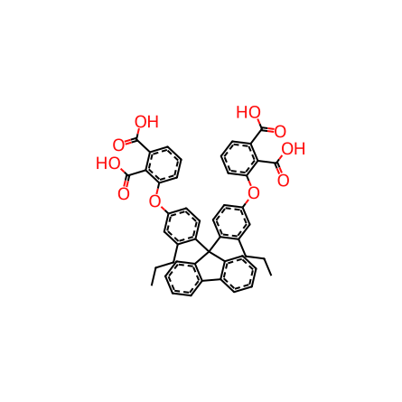 CCCc1cc(Oc2cccc(C(=O)O)c2C(=O)O)ccc1C1(c2ccc(Oc3cccc(C(=O)O)c3C(=O)O)cc2CCC)c2ccccc2-c2ccccc21